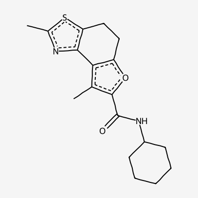 Cc1nc2c(s1)CCc1oc(C(=O)NC3CCCCC3)c(C)c1-2